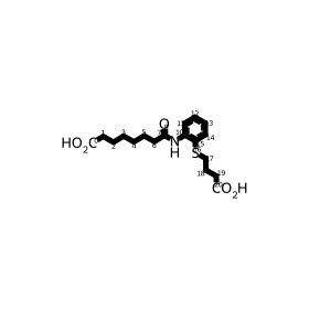 O=C(O)CCCCCCC(=O)Nc1ccccc1SCCCC(=O)O